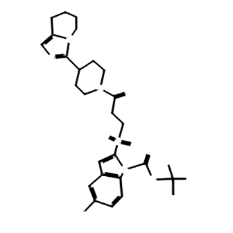 CC(C)(C)OC(=O)n1c(S(=O)(=O)CCC(=O)N2CCC(c3ncc4n3CCCC4)CC2)cc2cc(Cl)ccc21